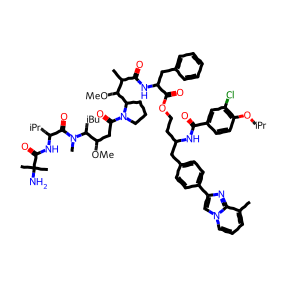 CCC(C)C(C(CC(=O)N1CCCC1C(OC)C(C)C(=O)NC(Cc1ccccc1)C(=O)OCCC(Cc1ccc(-c2cn3cccc(C)c3n2)cc1)NC(=O)c1ccc(OC(C)C)c(Cl)c1)OC)N(C)C(=O)C(NC(=O)C(C)(C)N)C(C)C